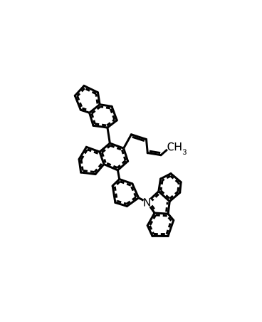 C/C=C\C=C/c1cc(-c2cccc(-n3c4ccccc4c4ccccc43)c2)c2ccccc2c1-c1ccc2ccccc2c1